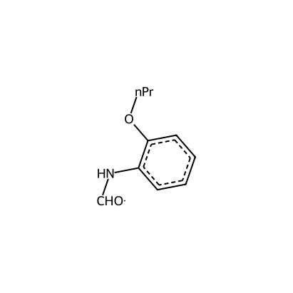 CCCOc1ccccc1N[C]=O